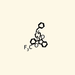 O=C1c2ccccc2C(=O)C1(c1cccc(C(F)(F)F)c1)N1CCN(Cc2ccccc2)CC1